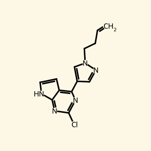 C=CCCn1cc(-c2nc(Cl)nc3[nH]ccc23)cn1